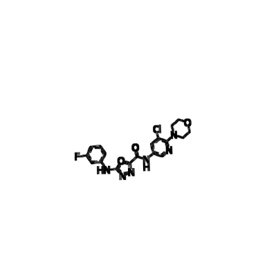 O=C(Nc1cnc(N2CCOCC2)c(Cl)c1)c1nnc(Nc2cccc(F)c2)o1